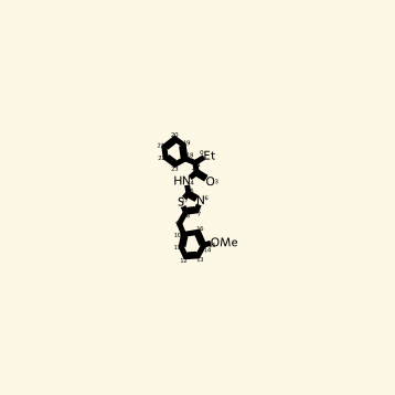 CCC(C(=O)Nc1ncc(Cc2cccc(OC)c2)s1)c1ccccc1